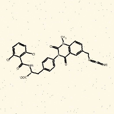 Cn1c(=O)n(-c2ccc(C[C@H](NC(=O)c3c(Cl)cccc3Cl)C(=O)[O-])cc2)c(=O)c2cc(CN=[N+]=N)ccc21